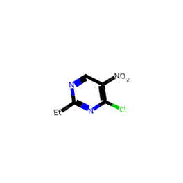 CCc1ncc([N+](=O)[O-])c(Cl)n1